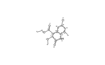 CCOC(=O)c1c(OC)c(=O)[nH]c2c(C)cc(Cl)cc12